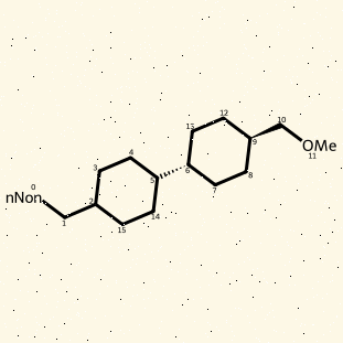 CCCCCCCCCCC1CCC([C@H]2CC[C@H](COC)CC2)CC1